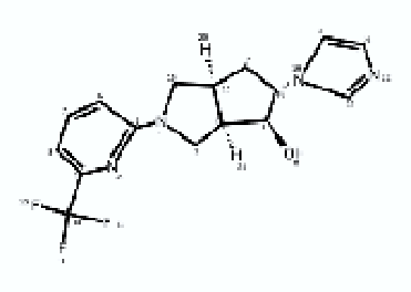 O[C@H]1[C@H]2CN(c3cccc(C(F)(F)F)n3)C[C@H]2C[C@@H]1n1ccnc1